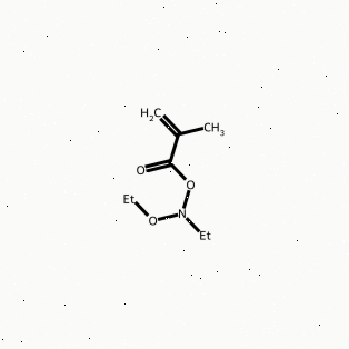 C=C(C)C(=O)ON(CC)OCC